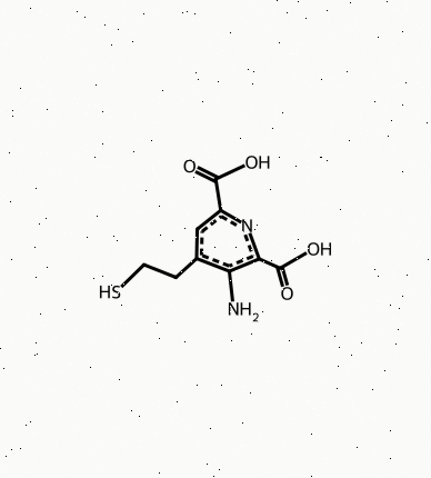 Nc1c(CCS)cc(C(=O)O)nc1C(=O)O